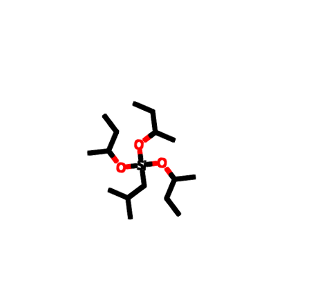 CCC(C)O[Si](CC(C)C)(OC(C)CC)OC(C)CC